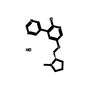 CN1CCC[C@H]1COc1cnc(Cl)c(-c2cncnc2)c1.Cl